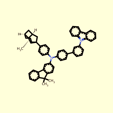 C[C@H]1C[C@H]2C[C@H]3CC(c4ccc(N(c5ccc(-c6cccc(-n7c8ccccc8c8ccccc87)c6)cc5)c5ccc6c(c5)-c5ccccc5C6(C)C)cc4)(CC23)C1